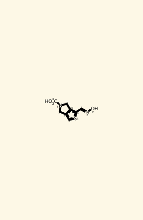 O=C(O)N1Cc2csc(C=NO)c2C1